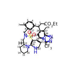 CCOC(=O)CC(c1ccc(C)c(CN2C[C@@H]3CCCCN3C3=C(C=CCN3)S2(=O)=O)c1)c1ccn2c(C(F)(F)F)nnc2c1C